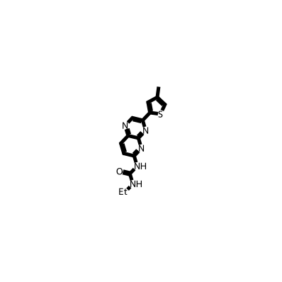 CCNC(=O)Nc1ccc2ncc(-c3cc(C)cs3)nc2n1